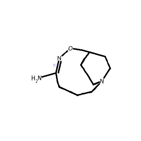 N/C1=N/OC2CCN(CCC1)CC2